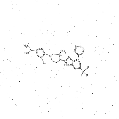 CC(O)c1cnc(N2CCN(c3nc4c(-c5cccnc5)cc(C(F)(F)F)cc4[nH]3)[C@H](C)C2)c(Cl)c1